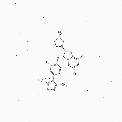 Cc1nnc(C)n1-c1ccc(O[C@H]2c3cc(Cl)cc(F)c3C[C@@H]2N2CCC(O)C2)c(F)c1